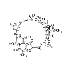 CO[C@H]1/C=C/O[C@@]2(C)Oc3c(C)c(O)c4c(O)c(cc(O)c4c3C2=O)NC(=O)/C(C)=C\C=C\[C@H](C)C[C@@H](C)C[C@@H](C)[C@H](OC(C)=O)[C@@H]1C